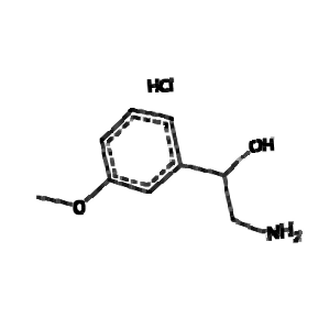 COc1cccc(C(O)CN)c1.Cl